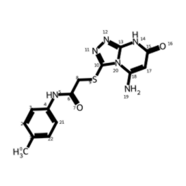 Cc1ccc(NC(=O)CSc2nnc3[nH]c(=O)cc(N)n23)cc1